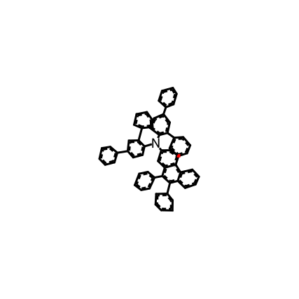 c1ccc(-c2ccc(N(c3ccc4c(c3)c(-c3ccccc3)c(-c3ccccc3)c3ccccc34)c3ccc(-c4ccccc4)cc3-c3ccccc3)c(-c3ccccc3)c2)cc1